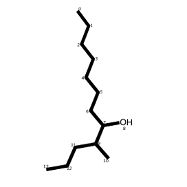 CCCCCCCC(O)C(C)CCC